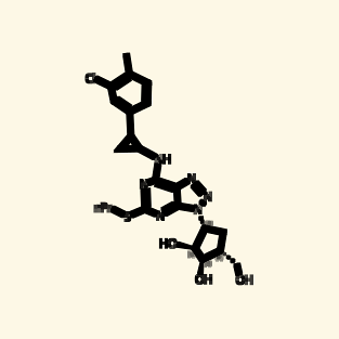 CCCSc1nc(NC2CC2c2ccc(C)c(Cl)c2)c2nnn([C@@H]3C[C@H](CO)[C@@H](O)[C@H]3O)c2n1